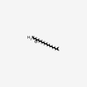 CC(C)CCCCCCCCCCCCCCC(=O)CCN